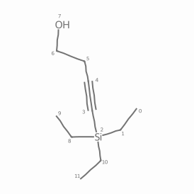 CC[Si](C#CCCO)(CC)CC